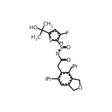 CC(C)c1cc2c(c(C(C)C)c1CC(=O)/N=[SH](=O)/c1sc(C(C)(C)O)cc1F)COC2